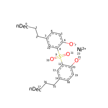 CCCCCCCCCCCCc1ccc([O-])c(S(=O)(=O)c2cc(CCCCCCCCCCCC)ccc2[O-])c1.[Ni+2]